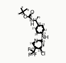 C[C@H](NC(=O)OC(C)(C)C)c1ccc(Nc2ncc(C(F)(F)F)c(Cl)n2)cc1